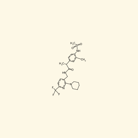 Cc1cc(C(C)C(=O)NCc2ccc(C(F)(F)F)nc2N2CCCCC2)ccc1NS(C)(=O)=O